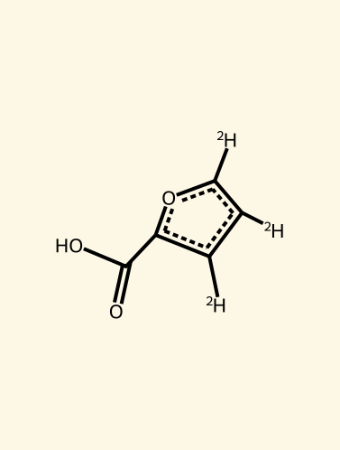 [2H]c1oc(C(=O)O)c([2H])c1[2H]